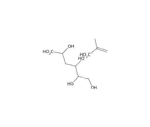 C=C(C)C(=O)O.O=C(O)C(O)CC(O)C(O)CO